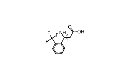 N[C@@H](CC(=O)O)c1ccccc1C(F)(F)F